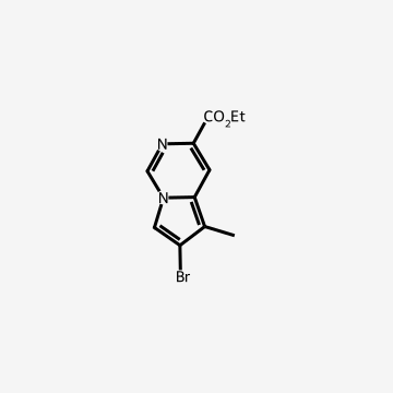 CCOC(=O)c1cc2c(C)c(Br)cn2cn1